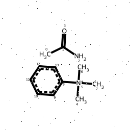 CC(N)=O.C[N+](C)(C)c1ccccc1